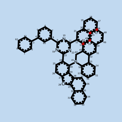 c1ccc(-c2cccc(-c3nc(-c4ccc5ccccc5c4)nc(-c4ccc5oc6c7ccccc7ccc6c5c4N4Cc5cc6ccccc6cc5-c5ccccc54)n3)c2)cc1